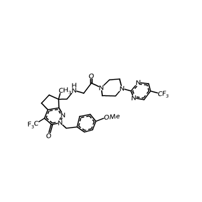 COc1ccc(Cn2nc3c(c(C(F)(F)F)c2=O)CCC3(C)CNCC(=O)N2CCN(c3ncc(C(F)(F)F)cn3)CC2)cc1